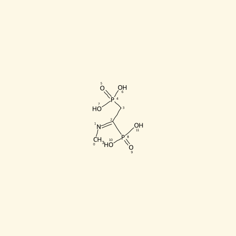 CN=C(CP(=O)(O)O)P(=O)(O)O